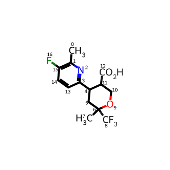 Cc1nc(C2CC(C)(C(F)(F)F)OCC2C(=O)O)ccc1F